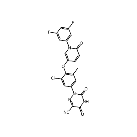 Cc1cc(-n2nc(C#N)c(=O)[nH]c2=O)cc(Cl)c1Oc1ccc(=O)n(-c2cc(F)cc(F)c2)c1